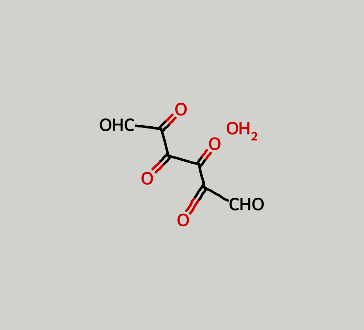 O.O=CC(=O)C(=O)C(=O)C(=O)C=O